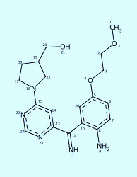 COCCOc1ccc(N)c(C(=N)c2cc(N3CCC(CO)C3)ncn2)c1